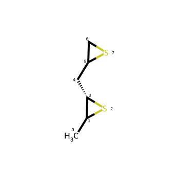 CC1S[C@H]1CC1CS1